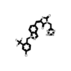 O=C1SC(=Cc2ccc3c(cnn3Cc3ccc(Cl)cc3C(F)(F)F)c2)C(=O)N1Cc1nn[nH]n1